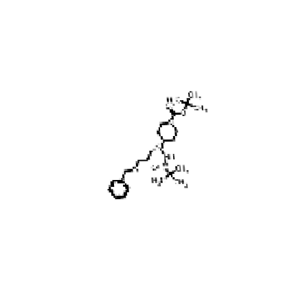 CC(C)(C)OC(=O)N1CCC([C@@H](CCCOCc2ccccc2)N[S@@+]([O-])C(C)(C)C)CC1